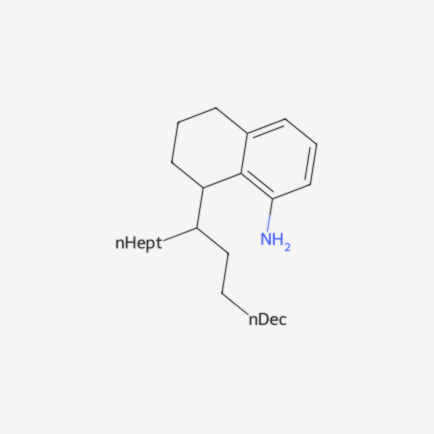 CCCCCCCCCCCCC(CCCCCCC)C1CCCc2cccc(N)c21